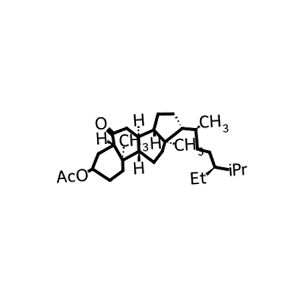 CC[C@@H](CC[C@@H](C)[C@H]1CC[C@H]2[C@@H]3CC(=O)[C@H]4CC(OC(C)=O)CC[C@]4(C)[C@H]3CC[C@]12C)C(C)C